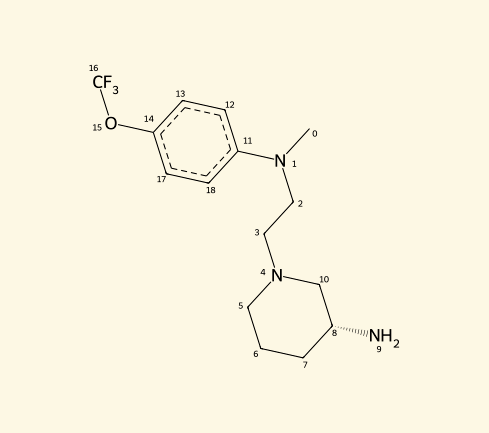 CN(CCN1CCC[C@@H](N)C1)c1ccc(OC(F)(F)F)cc1